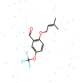 CC(C)=CCOc1ccc(OC(F)(F)F)cc1C=O